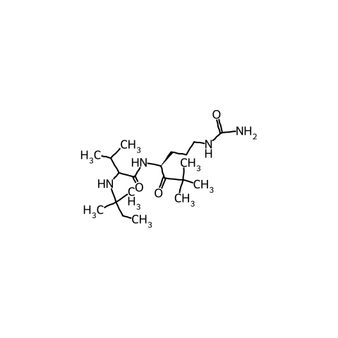 CCC(C)(C)NC(C(=O)N[C@@H](CCCNC(N)=O)C(=O)C(C)(C)C)C(C)C